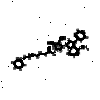 Nc1ncnc2c1c(-c1ccncn1)cn2[C@@H]1C[C@H](CNCCCNCCc2ccccc2)[C@@H](O)[C@H]1O